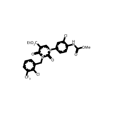 CCOC(=O)c1cn(-c2ccc(NC(=O)OC)c(Cl)c2)c(=O)n(Cc2cccc(C(F)(F)F)c2Cl)c1=O